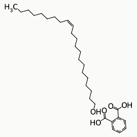 CCCCCCCC/C=C\CCCCCCCCCCCCO.O=C(O)c1ccccc1C(=O)O